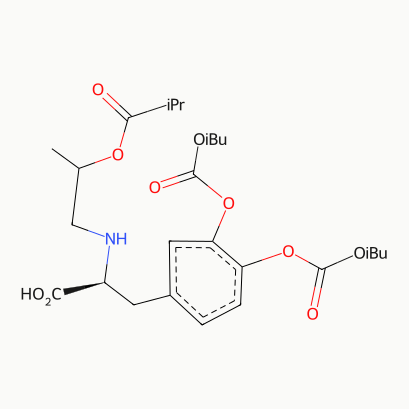 CC(C)COC(=O)Oc1ccc(C[C@H](NCC(C)OC(=O)C(C)C)C(=O)O)cc1OC(=O)OCC(C)C